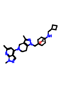 Cc1cc(N2CCc3c(c(C)nn3CC34CCC(NCC5CCC5)(CC3)CO4)C2)c2cnn(C)c2n1